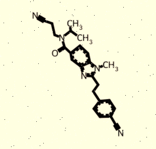 CC(C)N(CCC#N)C(=O)c1ccc2c(c1)nc(CCc1ccc(C#N)cc1)n2C